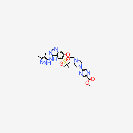 COC(=O)c1cnc(N2CCN(CCOc3cc4ncnc(Nc5[nH]nc(C)c5C)c4cc3S(=O)(=O)C(C)(C)C)CC2)cn1